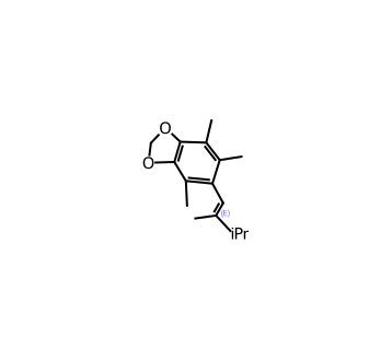 C/C(=C\c1c(C)c(C)c2c(c1C)OCO2)C(C)C